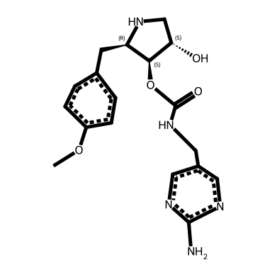 COc1ccc(C[C@H]2NC[C@H](O)[C@H]2OC(=O)NCc2cnc(N)nc2)cc1